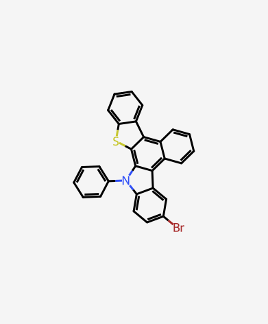 Brc1ccc2c(c1)c1c3ccccc3c3c4ccccc4sc3c1n2-c1ccccc1